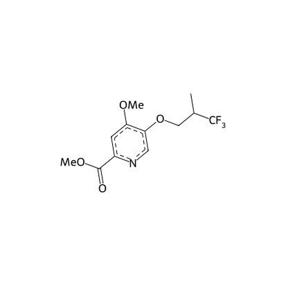 COC(=O)c1cc(OC)c(OCC(C)C(F)(F)F)cn1